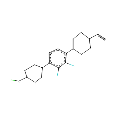 C=CC1CCC(c2ccc(C3CCC(CCl)CC3)c(F)c2F)CC1